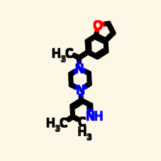 CC(C)/C=C(\C=N)N1CCN(C(C)c2ccc3c(c2)OCC3)CC1